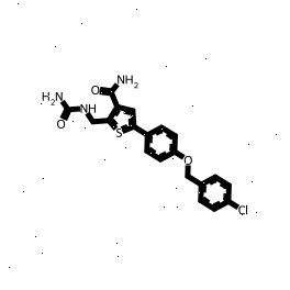 NC(=O)NCc1sc(-c2ccc(OCc3ccc(Cl)cc3)cc2)cc1C(N)=O